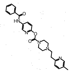 Cc1ccc(CCN2CCN(C(=O)Oc3ccc(NC(=O)c4ccccc4)cn3)CC2)nc1